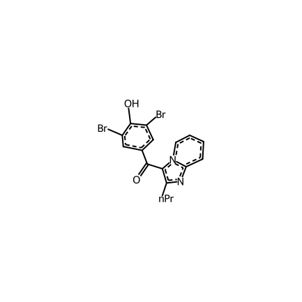 CCCc1nc2ccccn2c1C(=O)c1cc(Br)c(O)c(Br)c1